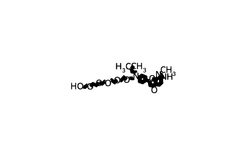 Cc1nc2c(ccc3c(=O)cc(-c4ccc(N(CCOCCOCCOCCOCCOCCO)CCC(C)C)cc4)oc32)[nH]1